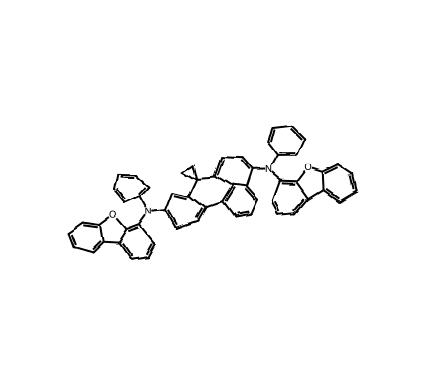 c1ccc(N(c2ccc3c(c2)C2(CC2)c2ccc(N(c4ccccc4)c4cccc5c4oc4ccccc45)c4cccc-3c24)c2cccc3c2oc2ccccc23)cc1